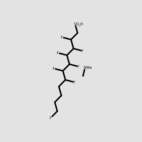 CNC.O=S(=O)(O)CC(F)C(F)C(F)C(F)C(F)C(F)CCCCF